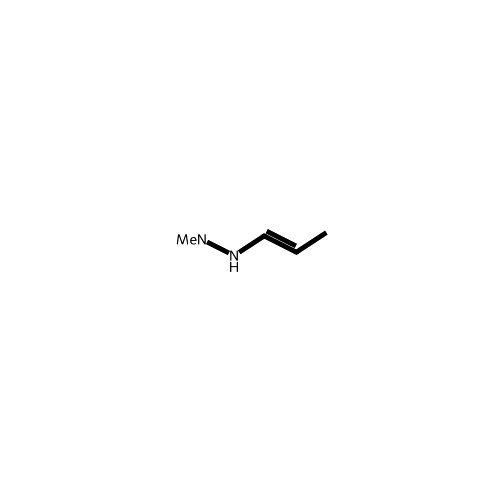 C/C=C/NNC